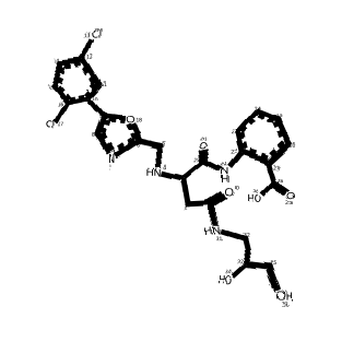 O=C(CC(NCc1ncc(-c2cc(Cl)ccc2Cl)o1)C(=O)Nc1ccccc1C(=O)O)NCC(O)CO